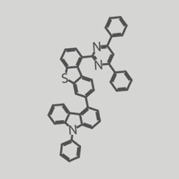 c1ccc(-c2cc(-c3ccccc3)nc(-c3cccc4sc5cc(-c6cccc7c6c6ccccc6n7-c6ccccc6)ccc5c34)n2)cc1